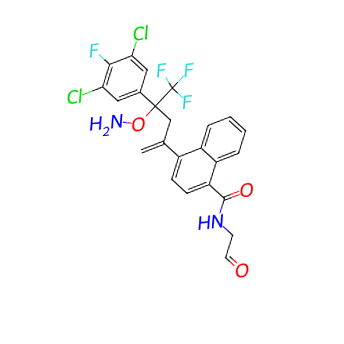 C=C(CC(ON)(c1cc(Cl)c(F)c(Cl)c1)C(F)(F)F)c1ccc(C(=O)NCC=O)c2ccccc12